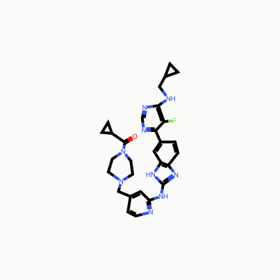 O=C(C1CC1)N1CCN(Cc2ccnc(Nc3nc4ccc(-c5ncnc(NCC6CC6)c5F)cc4[nH]3)c2)CC1